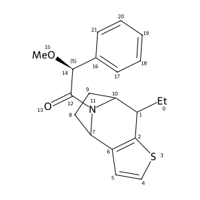 CCC1c2sccc2C2CCC1N2C(=O)[C@@H](OC)c1ccccc1